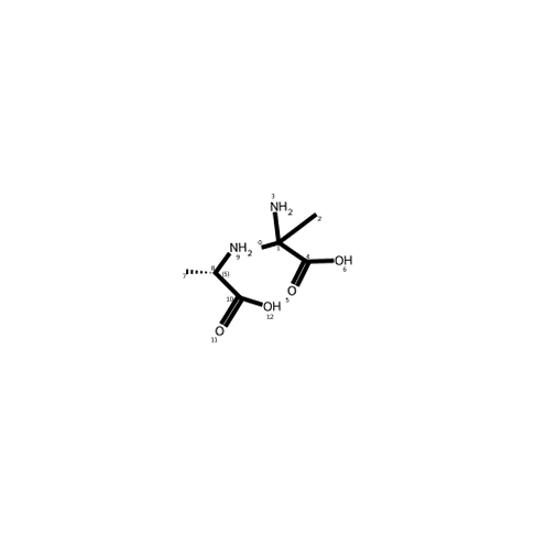 CC(C)(N)C(=O)O.C[C@H](N)C(=O)O